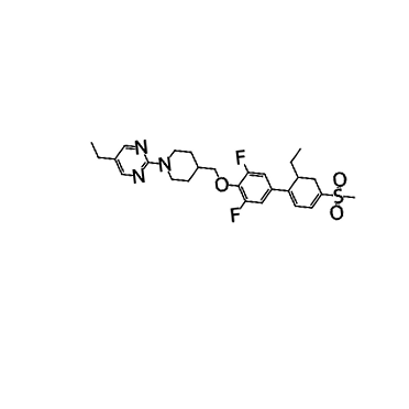 CCc1cnc(N2CCC(COc3c(F)cc(C4=CC=C(S(C)(=O)=O)CC4CC)cc3F)CC2)nc1